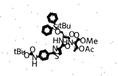 COC(=O)[C@@H](NC(=O)[C@H](CO[Si](c1ccccc1)(c1ccccc1)C(C)(C)C)NC(=O)c1csc(-c2ccc(NC(=O)OC(C)(C)C)cc2)n1)[C@@H](C)OC(C)=O